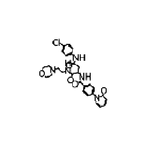 O=C(CC(NC(=O)c1ccc(-n2ccccc2=O)cc1)C(=O)NCCN1CCOCC1)Nc1ccc(Cl)cc1